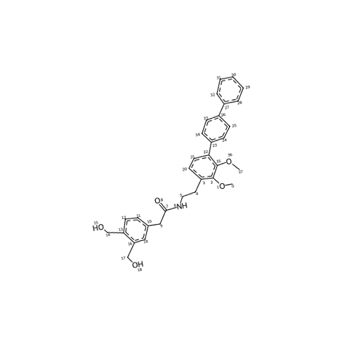 COc1c(CCNC(=O)Cc2ccc(CO)c(CO)c2)ccc(-c2ccc(-c3ccccc3)cc2)c1OC